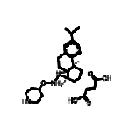 CC(C)c1ccc2c(c1)CC[C@H]1[C@](C)(CNOC3CCNCC3)CCC[C@]21C.O=C(O)/C=C/C(=O)O